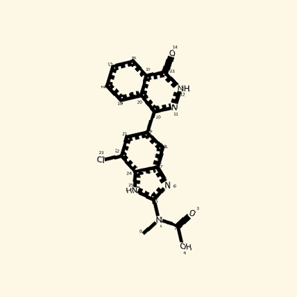 CN(C(=O)O)c1nc2cc(-c3n[nH]c(=O)c4ccccc34)cc(Cl)c2[nH]1